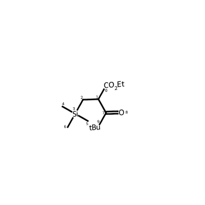 CCOC(=O)C(C[Si](C)(C)C)C(=O)C(C)(C)C